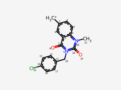 Cc1ccc2c(c1)c(=O)n(Cc1ccc(Cl)cc1)c(=O)n2C